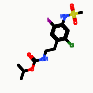 CC(C)OC(=O)NCCc1cc(I)c(NS(C)(=O)=O)cc1Cl